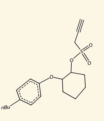 C#CCS(=O)(=O)OC1CCCCC1Oc1ccc(CCCC)cc1